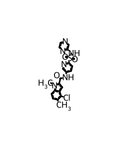 Cc1ccc2c(cc(C(=O)Nc3ccc(S(=O)(=O)Nc4cnccn4)nc3)n2C)c1Cl